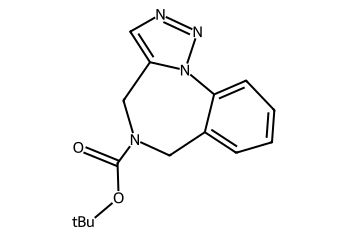 CC(C)(C)OC(=O)N1Cc2ccccc2-n2nncc2C1